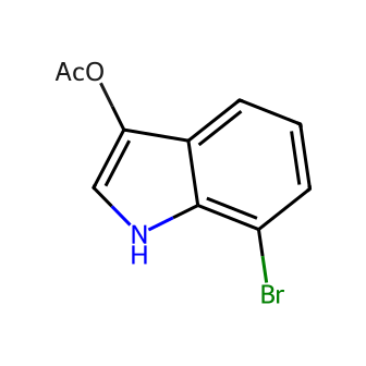 CC(=O)Oc1c[nH]c2c(Br)cccc12